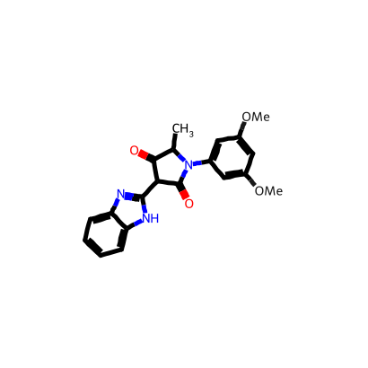 COc1cc(OC)cc(N2C(=O)C(c3nc4ccccc4[nH]3)C(=O)C2C)c1